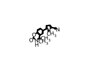 Cn1c(C#N)ccc1-c1ccc2c(c1)C(C)(C)NC(=O)O2